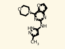 Cc1cc(Nc2nc(N3CCOCC3)c3occc3n2)[nH]n1